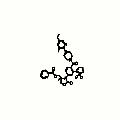 CCc1cnc(N2CCN(C(=O)c3ccc(N4C(=O)OC[C@H]4COC(=O)c4ccccc4)cc3N3CCCS3(=O)=O)CC2)c(C)c1